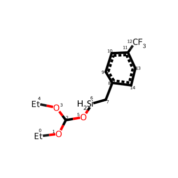 CCOC(OCC)O[SiH2]Cc1ccc(C(F)(F)F)cc1